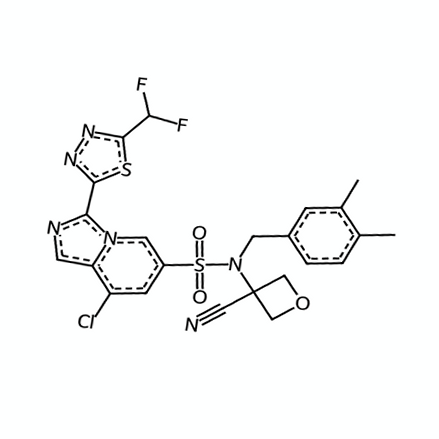 Cc1ccc(CN(C2(C#N)COC2)S(=O)(=O)c2cc(Cl)c3cnc(-c4nnc(C(F)F)s4)n3c2)cc1C